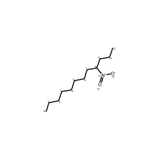 CCCCCCCCC(CCC)[N+](=O)[O-]